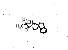 CC(C)(C)C(=O)N1CCC2(CCc3ccccc32)CC1